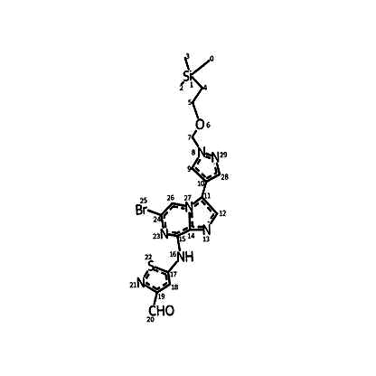 C[Si](C)(C)CCOCn1cc(-c2cnc3c(Nc4cc(C=O)ns4)nc(Br)cn23)cn1